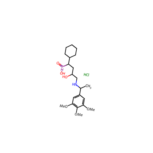 COc1cc(C(C)NCC(O)CC(C2CCCCC2)[PH](=O)O)cc(OC)c1OC.Cl